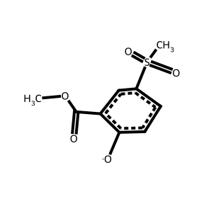 COC(=O)c1cc(S(C)(=O)=O)ccc1[O]